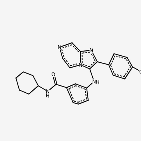 O=C(NC1CCCCC1)c1cccc(Nc2c(-c3ccc(Cl)cc3)nc3cnccn23)c1